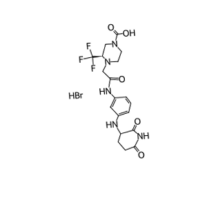 Br.O=C1CCC(Nc2cccc(NC(=O)CN3CCN(C(=O)O)C[C@@H]3C(F)(F)F)c2)C(=O)N1